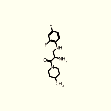 CC1CCN(C(=O)C(N)CNc2ccc(F)cc2F)CC1